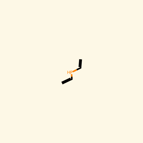 C=CPC=C